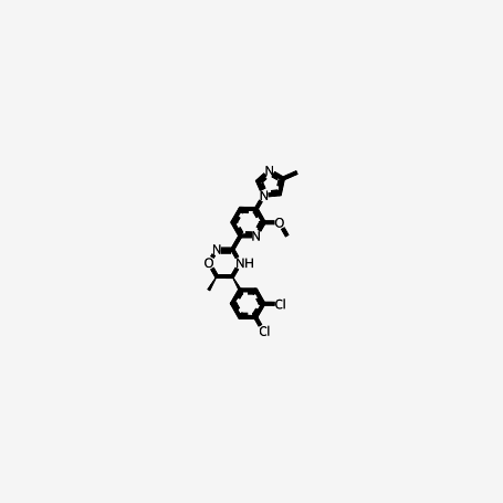 COc1nc(C2=NO[C@H](C)[C@H](c3ccc(Cl)c(Cl)c3)N2)ccc1-n1cnc(C)c1